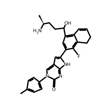 Cc1ccc(-n2cc3cc(-c4cc(C(O)CC[C@H](C)N)c5c(c4F)CCC=C5)[nH]c3nc2=O)cc1